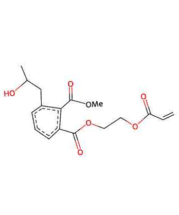 C=CC(=O)OCCOC(=O)c1cccc(CC(C)O)c1C(=O)OC